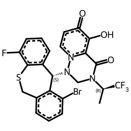 C[C@@H](N1CN([C@H]2c3cccc(F)c3SCc3cccc(Br)c32)n2ccc(=O)c(O)c2C1=O)C(F)(F)F